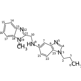 CCCn1cnc2cc(NCc3nc4ccccc4n3C)ccc21